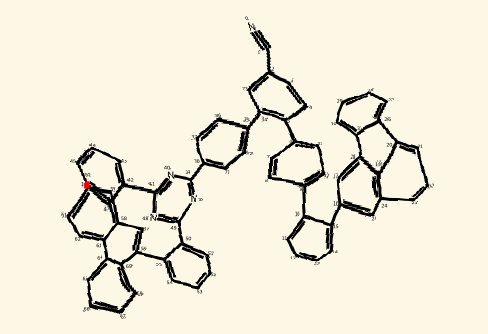 N#Cc1ccc(-c2ccc(-c3ccccc3-c3cc4c5c(cccc5c3)-c3ccccc3-4)cc2)c(-c2ccc(-c3nc(-c4ccccc4)nc(-c4ccccc4-c4cc5ccccc5c5ccccc45)n3)cc2)c1